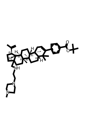 C=C(C)[C@@H]1CCC2(CNCCN3CCN(C)CC3)CC[C@]3(C)[C@H](CC[C@@H]4[C@@]5(C)CC=C(c6ccc(C(=O)OC(C)(C)C)cc6)C(C)(C)[C@@H]5CC[C@]43C)[C@@H]12